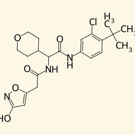 CC(C)(C)c1ccc(NC(=O)C(NC(=O)Cc2cc(O)no2)C2CCOCC2)cc1Cl